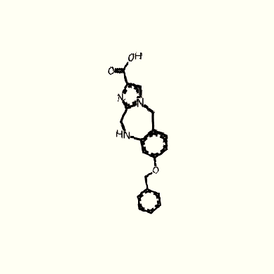 O=C(O)c1cn2c(n1)CNc1cc(OCc3ccccc3)ccc1C2